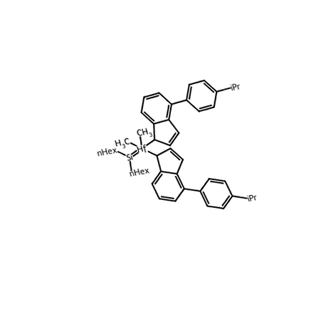 CCCCCC[Si](CCCCCC)=[Hf]([CH3])([CH3])([CH]1C=Cc2c(-c3ccc(C(C)C)cc3)cccc21)[CH]1C=Cc2c(-c3ccc(C(C)C)cc3)cccc21